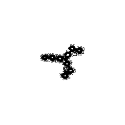 C1=CC(c2cccc3c2sc2ccccc23)CC=C1N(c1ccc(C2=CCCc3c2sc2ccccc32)cc1)c1ccc(-c2ccc(-c3ccccc3)cc2)cc1